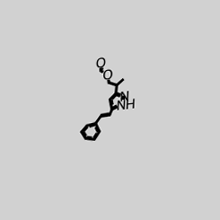 CC(COC=O)c1cc(C=Cc2ccccc2)[nH]n1